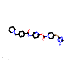 O=C(Nc1ccc(OC(=O)N2CCC(Sc3nc[nH]n3)CC2)nc1)c1ccc(CN2CCCCC2)cc1